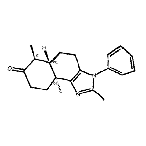 Cc1nc2c(n1-c1ccccc1)CC[C@H]1[C@H](C)C(=O)CC[C@]21C